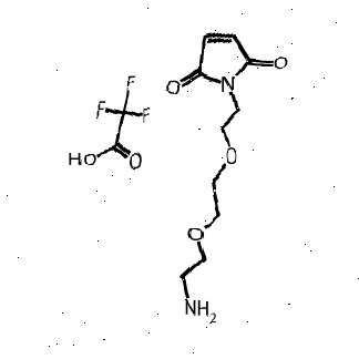 NCCOCCOCCN1C(=O)C=CC1=O.O=C(O)C(F)(F)F